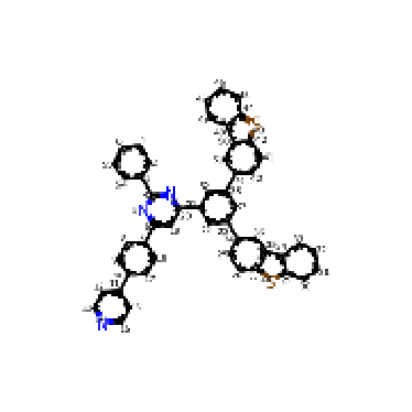 c1ccc(-c2nc(-c3ccc(-c4ccncc4)cc3)cc(-c3cc(-c4ccc5sc6ccccc6c5c4)cc(-c4ccc5sc6ccccc6c5c4)c3)n2)cc1